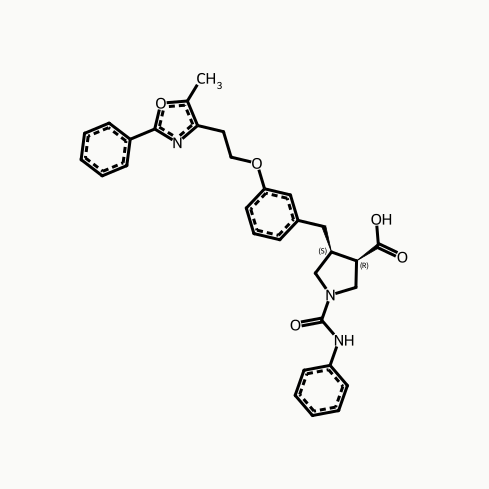 Cc1oc(-c2ccccc2)nc1CCOc1cccc(C[C@@H]2CN(C(=O)Nc3ccccc3)C[C@@H]2C(=O)O)c1